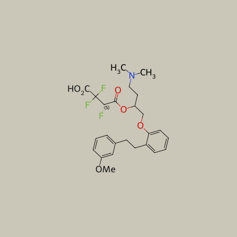 COc1cccc(CCc2ccccc2OCC(CCN(C)C)OC(=O)[C@H](F)C(F)(F)C(=O)O)c1